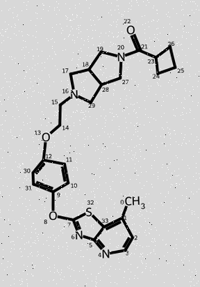 Cc1ccnc2nc(Oc3ccc(OCCN4CC5CN(C(=O)C6CCC6)CC5C4)cc3)sc12